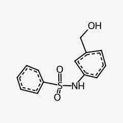 O=S(=O)(Nc1cccc(CO)c1)c1ccccc1